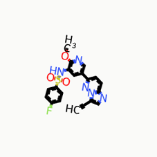 C#Cc1cnc2ccc(-c3cnc(OC)c(NS(=O)(=O)c4ccc(F)cc4)c3)nn12